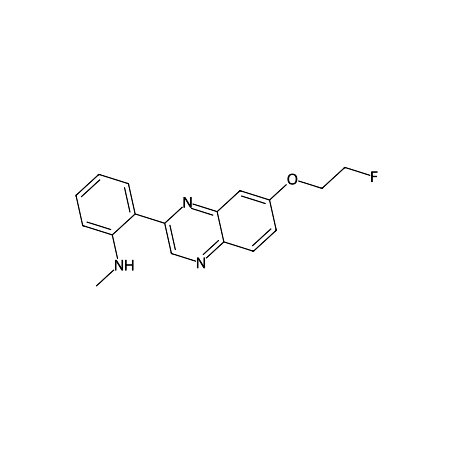 CNc1ccccc1-c1cnc2ccc(OCCF)cc2n1